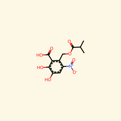 CC(C)C(=O)OCc1c([N+](=O)[O-])cc(O)c(O)c1C(=O)O